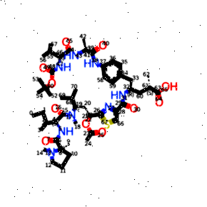 CCC(C)[C@H](NC(=O)[C@@]1(C)CCCN1C)C(=O)N(C)[C@H](C[C@@H](OC(C)=O)c1nc(C(=O)N[C@@H](Cc2ccc(NC(=O)[C@H](C)NC(=O)[C@@H](NC(=O)OC(C)(C)C)C(C)C)cc2)C[C@H](C)C(=O)O)cs1)C(C)C